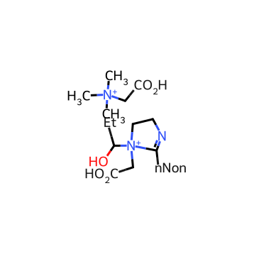 CCCCCCCCCC1=NCC[N+]1(CC(=O)O)C(O)CC.C[N+](C)(C)CC(=O)O